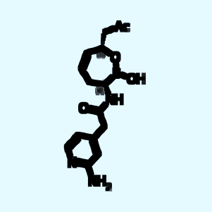 CC(=O)C[C@H]1C=CC[C@H](NC(=O)Cc2ccnc(N)c2)B(O)O1